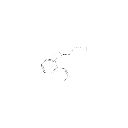 C/N=C\c1ncccc1NCCO